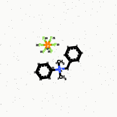 C[N+](C)(Cc1ccccc1)c1ccccc1.F[P-](F)(F)(F)(F)F